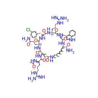 CC(=O)N[C@H](CCCNC(=N)N)C(=O)N[C@H]1CC(=O)NCCCC[C@@H](C(N)=O)NC(=O)[C@H](Cc2c[nH]c3ccccc23)NC(=O)[C@H](CCCNC(=N)N)NC(=O)[C@@H](Cc2cccc(Cl)c2)NC(=O)[C@H](CCC(N)=O)NC1=O